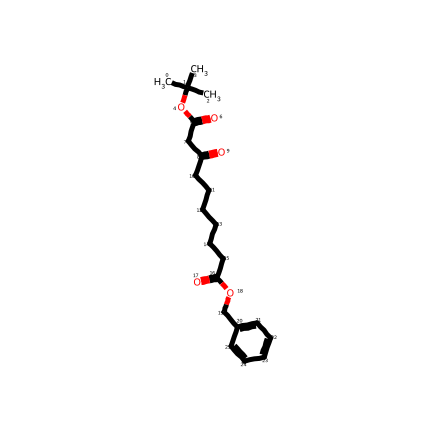 CC(C)(C)OC(=O)CC(=O)CCCCCCC(=O)OCc1ccccc1